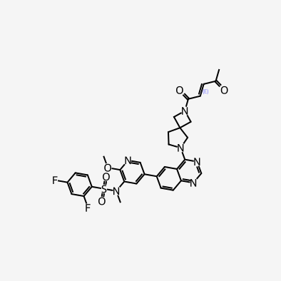 COc1ncc(-c2ccc3ncnc(N4CCC5(CN(C(=O)/C=C/C(C)=O)C5)C4)c3c2)cc1N(C)S(=O)(=O)c1ccc(F)cc1F